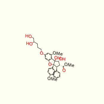 COC(=O)[C@H]1[C@@H](O)[C@@]2(O)c3c(OC)cc(OCCC[C@@H](O)CO)cc3O[C@@]2(c2ccc(OC)cc2)[C@@H]1c1ccccc1